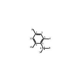 Cc1cc(C)c(N(C)C)c(C)c1